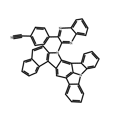 N#Cc1ccc(-c2nc3ccccc3nc2-n2c3ccc4ccccc4c3c3cc4c5ccccc5n5c6ccccc6c(c32)c45)cc1